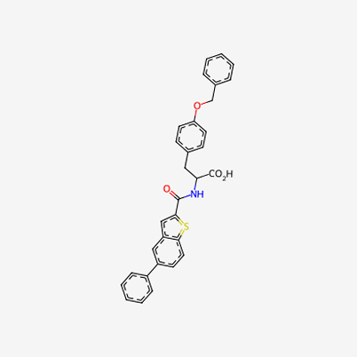 O=C(NC(Cc1ccc(OCc2ccccc2)cc1)C(=O)O)c1cc2cc(-c3ccccc3)ccc2s1